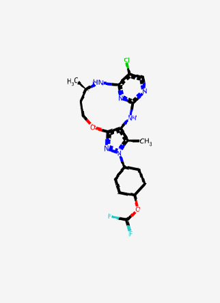 Cc1c2c(nn1C1CCC(OC(F)F)CC1)OCC[C@@H](C)Nc1nc(ncc1Cl)N2